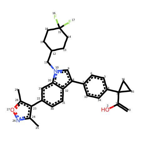 C=C(O)C1(c2ccc(-c3cn(CC4CCC(F)(F)CC4)c4cc(-c5c(C)noc5C)ccc34)cc2)CC1